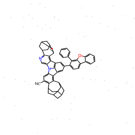 N#Cc1cc2c(c3c1C1CC4CC5CC3CC45C1)c1cc(-c3ccc4c(oc5ccccc54)c3-c3ccccc3)cc3c4c5c(ncc4n2c31)C1CC2CC(C1)CC5C2